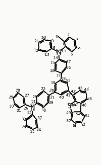 Cc1ccccc1N(c1ccccc1)c1ccc(-c2cc(-c3ccc(N(c4ccccc4)c4ccccc4)cc3)cc(-c3cccc4c3sc3ccccc34)c2)cc1